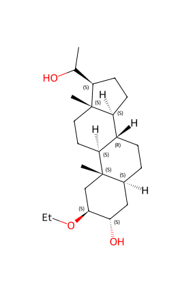 CCO[C@H]1C[C@@]2(C)[C@@H](CC[C@@H]3[C@@H]2CC[C@]2(C)[C@@H](C(C)O)CC[C@@H]32)C[C@@H]1O